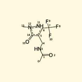 CC(=O)NCc1c(C(F)(F)F)[nH]n(C)c1=O